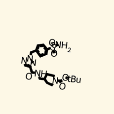 CC(C)(C)OC(=O)N1CCC(CNC(=O)c2cnn(Cc3ccc(S(N)(=O)=O)cc3)n2)CC1